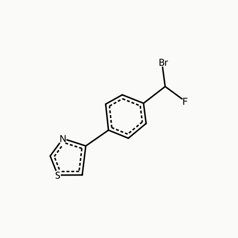 FC(Br)c1ccc(-c2cscn2)cc1